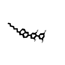 CCCCCCCc1ccc2cc(-c3cc(F)c(-c4cc(F)cc(F)c4)c(F)c3)ccc2c1